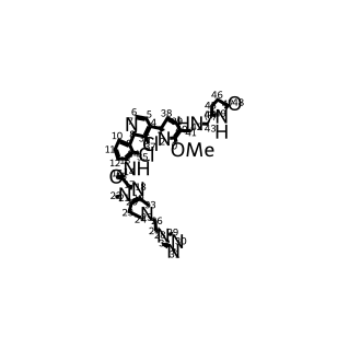 COc1nc(-c2ccnc(-c3cccc(NC(=O)c4nc5c(n4C)CCN(CCn4cnnc4)C5)c3Cl)c2Cl)ccc1CNC[C@H]1CCC(=O)N1